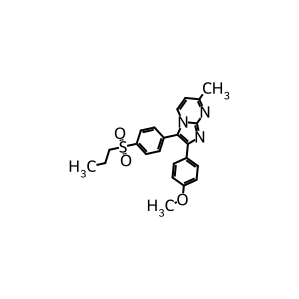 CCCS(=O)(=O)c1ccc(-c2c(-c3ccc(OC)cc3)nc3nc(C)ccn23)cc1